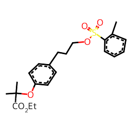 CCOC(=O)C(C)(C)Oc1ccc(CCCOS(=O)(=O)c2ccccc2C)cc1